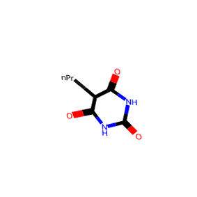 CCCC1C(=O)NC(=O)NC1=O